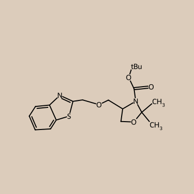 CC(C)(C)OC(=O)N1C(COCc2nc3ccccc3s2)COC1(C)C